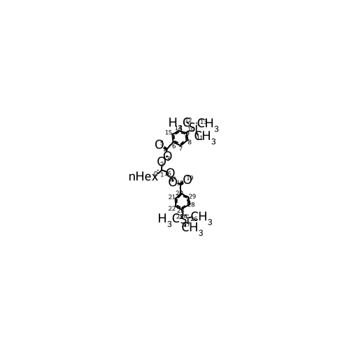 [CH2]CCCCC[C](OOC(=O)c1ccc([Si](C)(C)C)cc1)OOC(=O)c1ccc([Si](C)(C)C)cc1